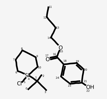 CC(C)(C)[Si]1(Cl)CCCCC1.CCCCOC(=O)c1ccc(O)cc1